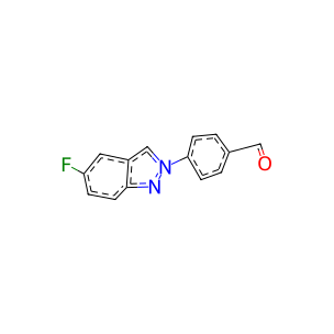 O=Cc1ccc(-n2cc3cc(F)ccc3n2)cc1